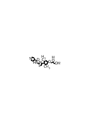 Cc1cc(OCC(O)CO)cc(C)c1-c1csc(NC(=O)c2ccncc2)n1